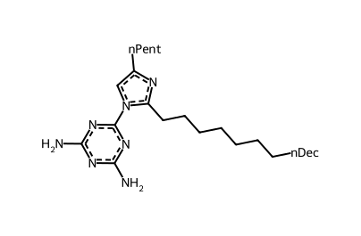 CCCCCCCCCCCCCCCCCc1nc(CCCCC)cn1-c1nc(N)nc(N)n1